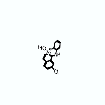 O=S(=O)(O)c1ccccc1Nc1nccc2ccc(Cl)cc12